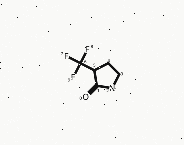 O=C1[N]CCC1C(F)(F)F